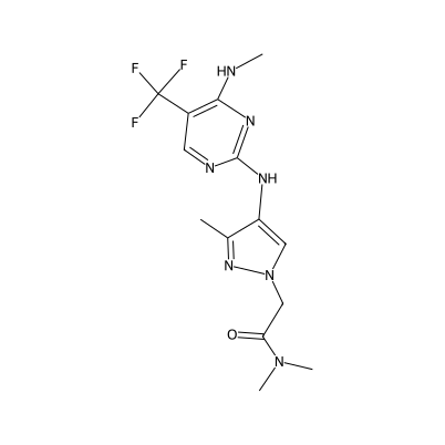 CNc1nc(Nc2cn(CC(=O)N(C)C)nc2C)ncc1C(F)(F)F